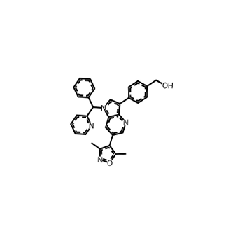 Cc1noc(C)c1-c1cnc2c(-c3ccc(CO)cc3)cn(C(c3ccccc3)c3ccccn3)c2c1